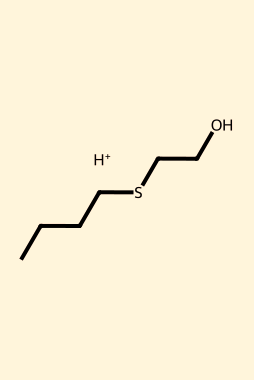 CCCCSCCO.[H+]